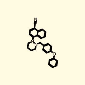 N#Cc1ccc(N2CCCCN2Cc2ccc(Oc3ccccc3)cc2)c2ccccc12